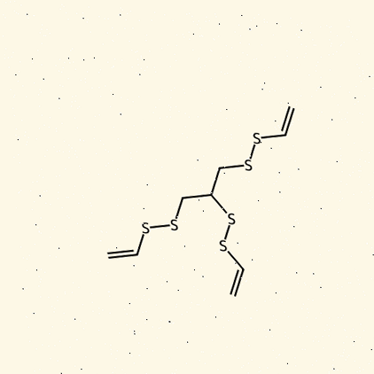 C=CSSCC(CSSC=C)SSC=C